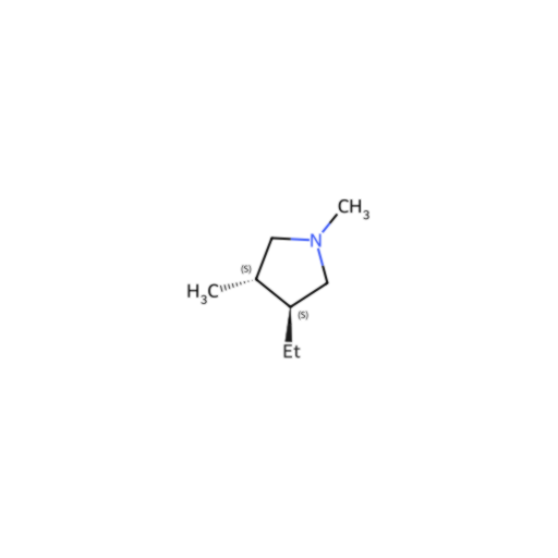 CC[C@@H]1CN(C)C[C@H]1C